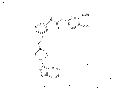 COc1ccc(CC(=O)Nc2cccc(CCN3CCN(c4nsc5ccccc45)CC3)c2)cc1OC